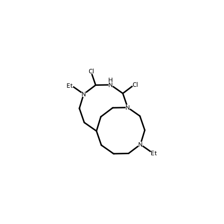 CCN1CCCC2CCN(CC)C(Cl)NC(Cl)N(CC2)CC1